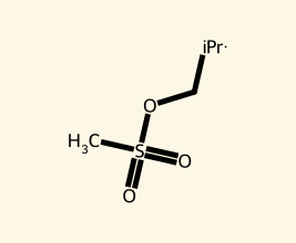 C[C](C)COS(C)(=O)=O